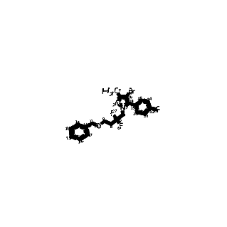 Cc1nn(CC(F)(F)CCOCc2ccccc2)c(-c2ccc(F)cc2)c1Br